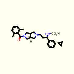 C1CC1.Cc1cccc(C)c1C(=O)N1CC2CN(CCC(NC(=O)O)c3ccccc3)C[C@H]2C1